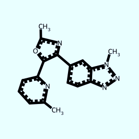 Cc1cccc(-c2oc(C)nc2-c2ccc3nnn(C)c3c2)n1